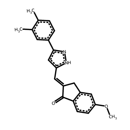 COc1ccc2c(c1)CC(=Cc1cc(-c3ccc(C)c(C)c3)n[nH]1)C2=O